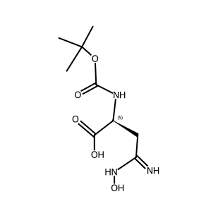 CC(C)(C)OC(=O)N[C@@H](CC(=N)NO)C(=O)O